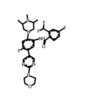 CC1CN(c2cc(F)c(-c3cnc(N4CCOCC4)nc3)cc2NC(=O)c2ccc(F)cc2C(F)F)CC(C)N1C